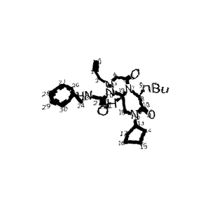 C#CCN1CC(=O)N2[C@@H](CCCC)C(=O)N(C3CCCC3)C[C@@H]2N1C(=O)NCc1ccccc1